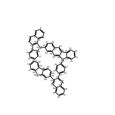 c1ccc2c(c1)ccc1c3ccccc3n(-c3ccc4cc5c6ccccc6n(-c6ccc(-c7nc8ccccc8nc7-c7ccc8c(c7)sc7ccccc78)cc6)c5cc4c3)c21